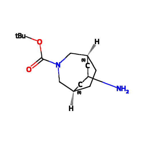 CC(C)(C)OC(=O)N1C[C@@H]2CC[C@@H](CC(N)C2)C1